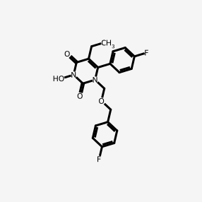 CCc1c(-c2ccc(F)cc2)n(COCc2ccc(F)cc2)c(=O)n(O)c1=O